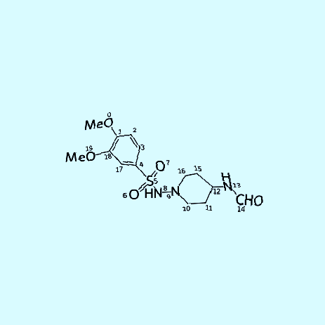 COc1ccc(S(=O)(=O)NN2CCC(NC=O)CC2)cc1OC